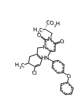 CC1CC(Cn2c(Nc3ccc(Oc4ccccc4)cc3)cc(=O)n(C[C@H](C)C(=O)O)c2=O)=CC=C1Cl